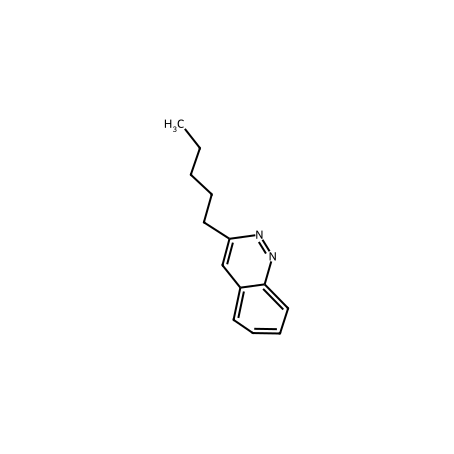 CCCCCc1cc2ccccc2nn1